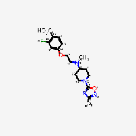 CC(C)c1noc(N2CCC(N(C)CCOc3ccc(C(=O)O)c(F)c3)CC2)n1